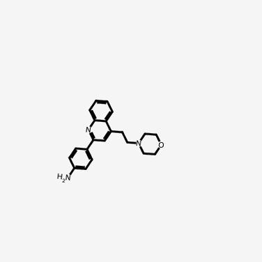 Nc1ccc(-c2cc(CCN3CCOCC3)c3ccccc3n2)cc1